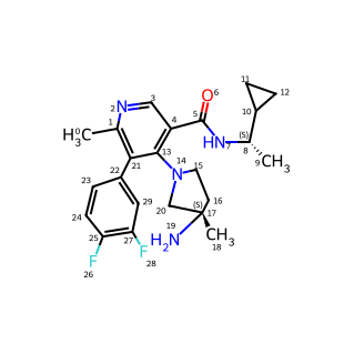 Cc1ncc(C(=O)N[C@@H](C)C2CC2)c(N2CC[C@](C)(N)C2)c1-c1ccc(F)c(F)c1